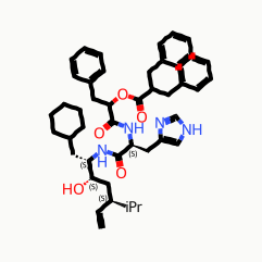 C=C[C@@H](C[C@H](O)[C@H](CC1CCCCC1)NC(=O)[C@H](Cc1c[nH]cn1)NC(=O)C(Cc1ccccc1)OC(=O)C(Cc1ccccc1)Cc1ccccc1)C(C)C